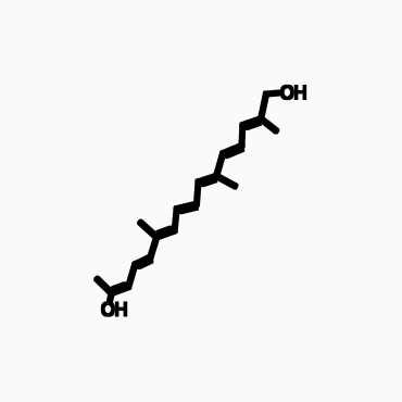 C\C(O)=C/C=C/C(C)=C/C=C/C=C(C)/C=C/C=C(\C)CO